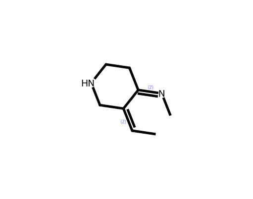 C/C=C1/CNCC/C1=N/C